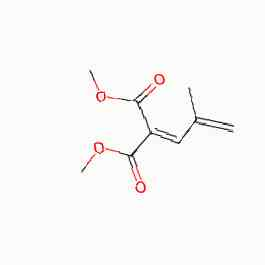 C=C(C)C=C(C(=O)OC)C(=O)OC